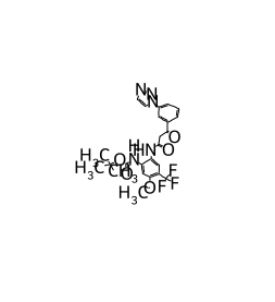 COc1cc(NC(=O)OC(C)(C)C)c(NC(=O)CC(=O)c2cccc(-n3ccnn3)c2)cc1C(F)(F)F